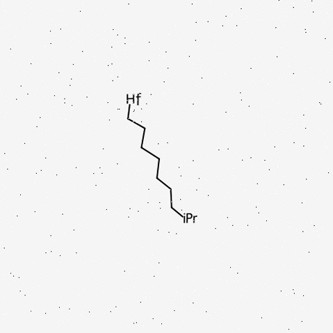 CC(C)CCCCCC[CH2][Hf]